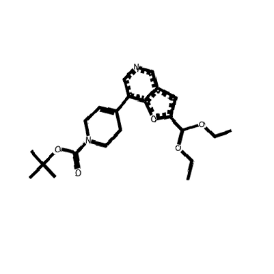 CCOC(OCC)c1cc2cncc(C3=CCN(C(=O)OC(C)(C)C)CC3)c2o1